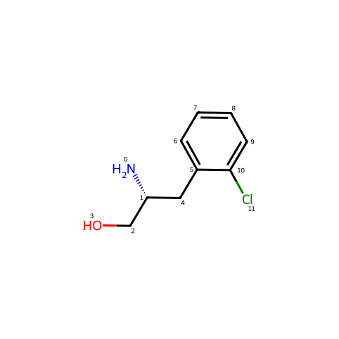 N[C@@H](CO)Cc1ccccc1Cl